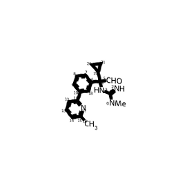 CNC(=N)NC(C=O)(c1cccc(-c2cccc(C)n2)c1)C1CC1